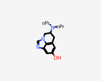 CCCN(CCC)C1Cc2cc(O)cc3ncn(c23)C1